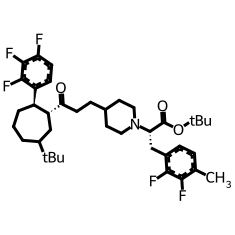 Cc1ccc(C[C@@H](C(=O)OC(C)(C)C)N2CCC(CCC(=O)[C@@H]3CC(C(C)(C)C)CCC[C@H]3c3ccc(F)c(F)c3F)CC2)c(F)c1F